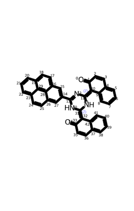 O=C1C=Cc2ccccc2/C1=C1/N=C(c2cc3ccc4cccc5ccc(c2)c3c45)N/C(=C2\C(=O)C=Cc3ccccc32)N1